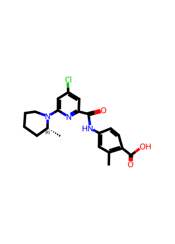 Cc1cc(NC(=O)c2cc(Cl)cc(N3CCCC[C@H]3C)n2)ccc1C(=O)O